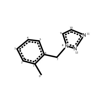 Cc1ccccc1Cn1ccnn1